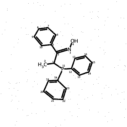 CC(C(=NO)c1ccccc1)P(c1ccccc1)c1ccccc1